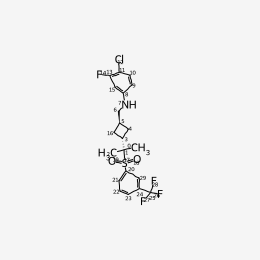 CC(C)([C@H]1C[C@H](CNc2ccc(Cl)c(F)c2)C1)S(=O)(=O)c1cccc(C(F)(F)F)c1